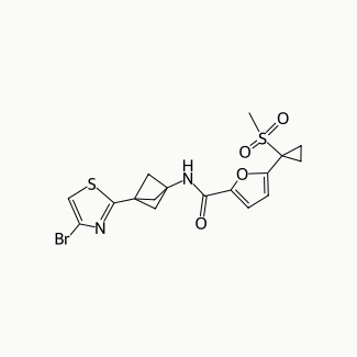 CS(=O)(=O)C1(c2ccc(C(=O)NC34CC(c5nc(Br)cs5)(C3)C4)o2)CC1